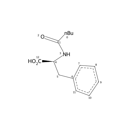 CCCCC(=O)N[C@@H](Cc1ccccc1)C(=O)O